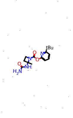 CC(C)(C)c1cccc(OC(=O)N2CCC2(C)NC(N)=O)n1